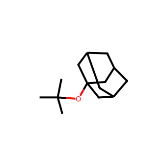 CC(C)(C)OC12CC3CC(CC(C3)C1)C2